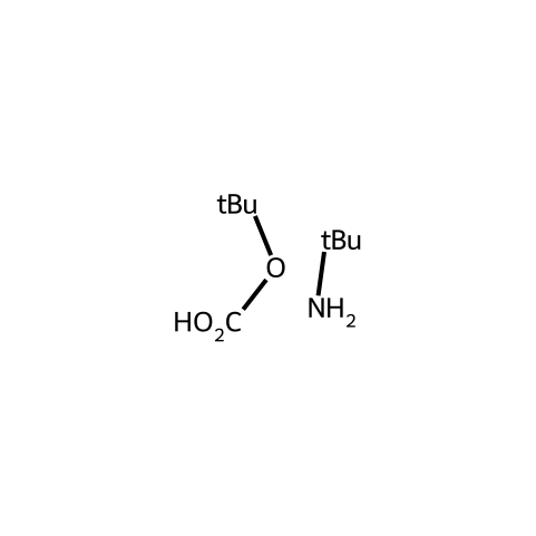 CC(C)(C)N.CC(C)(C)OC(=O)O